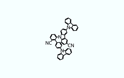 N#Cc1ccc2c(c1)c1cc(-n3c4ccccc4c4ccccc43)ccc1n2-c1cccc(C#N)c1-c1ccc(-n2c3ccccc3c3ccccc32)cc1